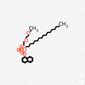 CCCCCCCCCCCCCCCCCOP(=O)(OCCOCCOCC)OOc1cccc2ccccc12